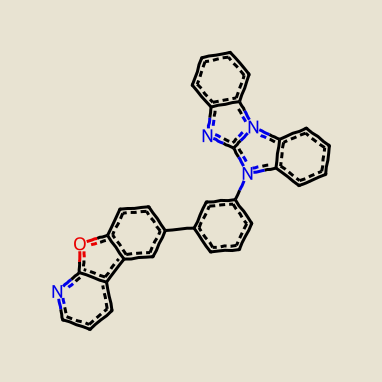 c1cc(-c2ccc3oc4ncccc4c3c2)cc(-n2c3ccccc3n3c4ccccc4nc23)c1